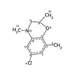 Cc1cc(Cl)cc2c1OC(C)CN2C